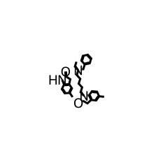 CCN(CCCCCN1C(=O)Cc2cc(C)ccc21)Cc1ccccc1.Cc1ccc2c(c1)CC(=O)N2